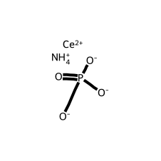 O=P([O-])([O-])[O-].[Ce+2].[NH4+]